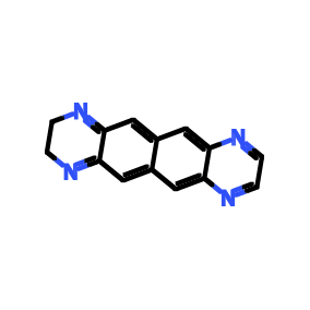 c1cnc2cc3cc4c(cc3cc2n1)=NCCN=4